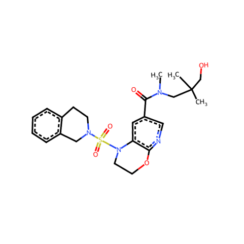 CN(CC(C)(C)CO)C(=O)c1cnc2c(c1)N(S(=O)(=O)N1CCc3ccccc3C1)CCO2